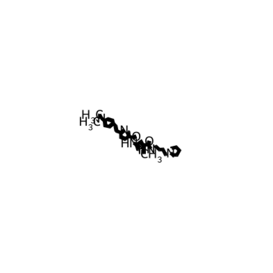 CN(C)c1ccc(/C=C/c2ccc(C(=O)Nc3cc(C(=O)NCCCCN4CCCCC4)n(C)c3)cn2)cc1